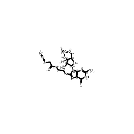 [N-]=[N+]=NCC(=O)NCCSc1nc2c(=O)[nH]c(N)nc2n1[C@@H]1OC2CO[PH](=S)O[C@H]2C1O